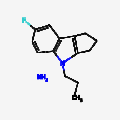 CCCn1c2c(c3cc(F)ccc31)CCC2.N